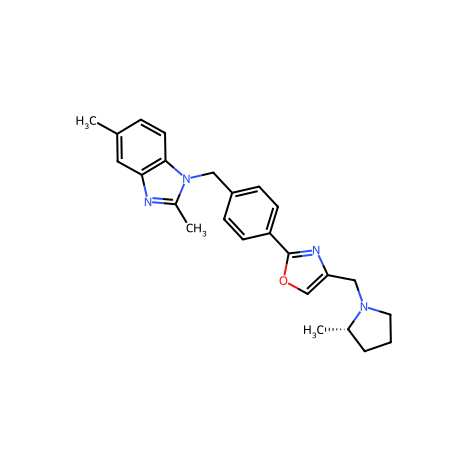 Cc1ccc2c(c1)nc(C)n2Cc1ccc(-c2nc(CN3CCC[C@@H]3C)co2)cc1